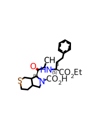 CCOC(=O)[C@H](CCc1ccccc1)NC(C)C(=O)[C@@H]1C2CSCCC2CN1C(=O)O